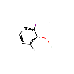 O=C([O-])c1cccc(I)c1OCl.[Na+]